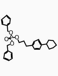 O=P(OCCCc1ccc(C2CCCCC2)cc1)(OCc1ccccc1)OCc1ccccc1